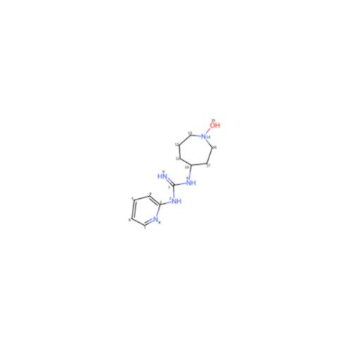 N=C(Nc1ccccn1)NC1CCCN(O)CC1